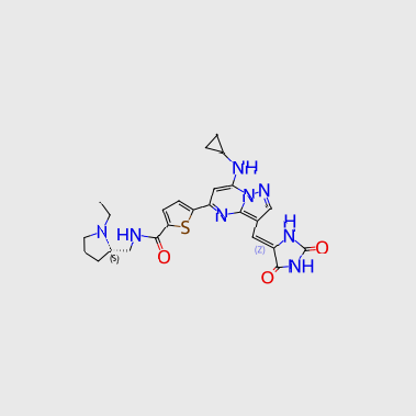 CCN1CCC[C@H]1CNC(=O)c1ccc(-c2cc(NC3CC3)n3ncc(/C=C4\NC(=O)NC4=O)c3n2)s1